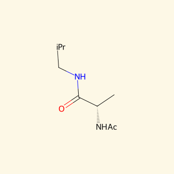 CC(=O)N[C@@H](C)C(=O)NCC(C)C